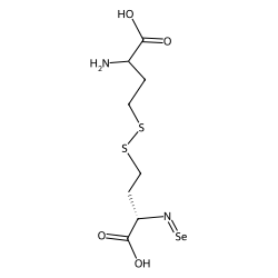 NC(CCSSCC[C@H](N=[Se])C(=O)O)C(=O)O